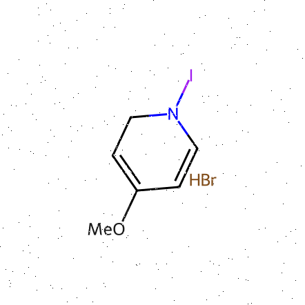 Br.COC1=CCN(I)C=C1